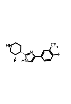 Fc1ccc(-c2c[nH]c([C@H]3CCNC[C@H]3F)n2)cc1C(F)(F)F